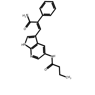 CCCC(=O)Nc1cnc2[nH]cc(C=C(C(N)=O)c3ccccc3)c2c1